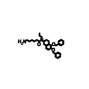 CCCN(C(=O)CCCCCN)[C@H]1CCc2c(ccc(OCc3ccccc3)c2OCc2ccccc2)C1